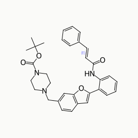 CC(C)(C)OC(=O)N1CCN(Cc2ccc3cc(-c4ccccc4NC(=O)/C=C/c4ccccc4)oc3c2)CC1